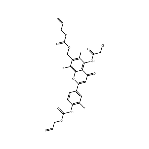 C=CCOC(=O)Nc1ccc(-c2cc(=O)c3c(NC(=O)CCl)c(F)c(COC(=O)OCC=C)c(F)c3o2)cc1F